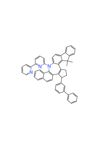 CC1(C)c2ccccc2-c2ccc3c(c21)C1=C(c2ccc4ccccc4c2N3c2cccc(-c3ccccn3)n2)C(c2cccc(-c3ccccc3)c2)CC1